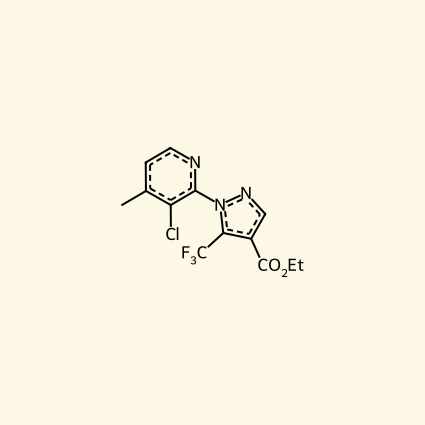 CCOC(=O)c1cnn(-c2nccc(C)c2Cl)c1C(F)(F)F